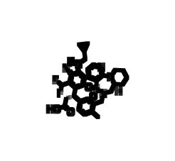 Cc1ccc([C@H](CC(=O)O)c2ccc3c(nnn3CC3CC3)c2C(F)F)cc1CN1C[C@@H]2CCCCN2c2ncccc2S1(=O)=O